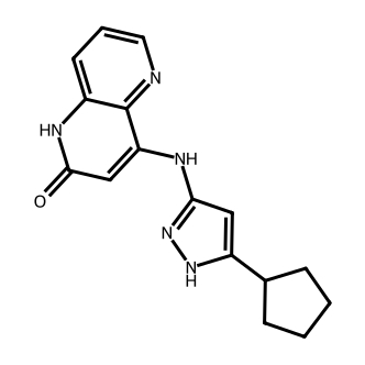 O=c1cc(Nc2cc(C3CCCC3)[nH]n2)c2ncccc2[nH]1